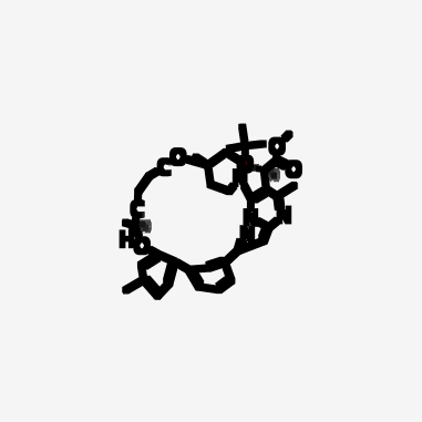 COC(=O)[C@@H](OC(C)(C)C)c1c(C)nc2cc3nn2c1N1CCC(C)(CC1)OCCCC[C@H](C)Oc1cc(C)ccc1-c1cccc-3c1